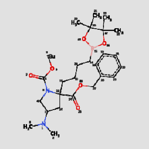 CN(C)C1CN(C(=O)OC(C)(C)C)C(CCCCB2OC(C)(C)C(C)(C)O2)(C(=O)OCc2ccccc2)C1